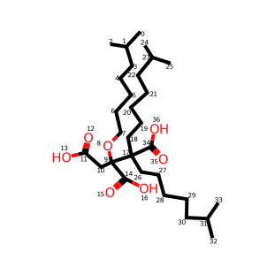 CC(C)CCCCCOC(CC(=O)O)(C(=O)O)C(CCCCCC(C)C)(CCCCCC(C)C)C(=O)O